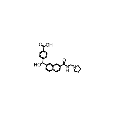 O=C(O)c1ccc(C(O)c2ccc3ccc(C(=O)NCN4CCCC4)cc3c2)cc1